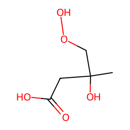 CC(O)(COO)CC(=O)O